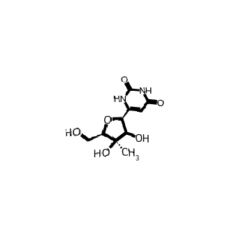 C[C@@]1(O)C(O)[C@H](c2cc(=O)[nH]c(=O)[nH]2)O[C@@H]1CO